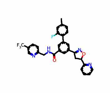 Cc1ccc(-c2cc(C(=O)NCc3ccc(C(F)(F)F)cn3)cc(C3=NOC(c4ccccn4)C3)c2)c(F)c1